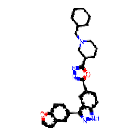 c1cc2cc(-c3n[nH]c4ccc(-c5nnc(C6CCCN(CC7CCCCC7)C6)o5)cc34)ccc2o1